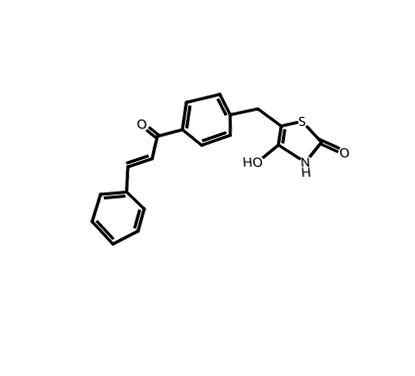 O=C(C=Cc1ccccc1)c1ccc(Cc2sc(=O)[nH]c2O)cc1